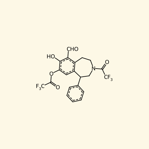 O=Cc1c(O)c(OC(=O)C(F)(F)F)cc2c1CCN(C(=O)C(F)(F)F)CC2c1ccccc1